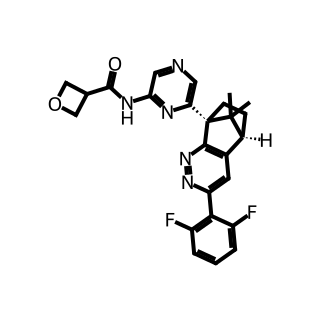 CC1(C)[C@H]2CC[C@]1(c1cncc(NC(=O)C3COC3)n1)c1nnc(-c3c(F)cccc3F)cc12